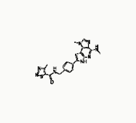 CNc1nc2[nH]c(-c3ccc(CNC(=O)c4snnc4C)cc3)cc2c2c1ncn2C